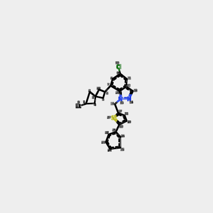 CCC1CC2(C1)CC(c1cc(Cl)cc3cnn(Cc4ccc(-c5ccccc5)s4)c13)C2